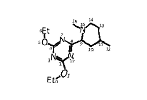 CCOc1nc(OCC)nc(C2CC(C)CCN2C)n1